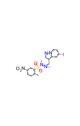 Cc1ccc([N+](=O)[O-])cc1S(=O)(=O)N(C)/N=C\c1cnn2ccc(I)cc12